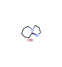 Br.C1CCC2=NCCCN2CC1